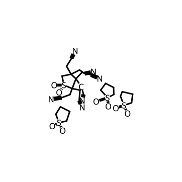 N#CCC1(CC#N)CS(=O)(=O)C(CC#N)(CC#N)C1(CC#N)CC#N.O=S1(=O)CCCC1.O=S1(=O)CCCC1.O=S1(=O)CCCC1